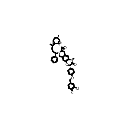 CC1CC[C@H](c2ccccc2)N2Cc3cc4c(cc3C[C@H]2C(=O)O[C@@H]2C[C@H](C)CC[C@@H]12)N(C)C(=O)[C@H](c1ccc(OCc2ccc(Cl)c(Cl)c2)cc1)O4